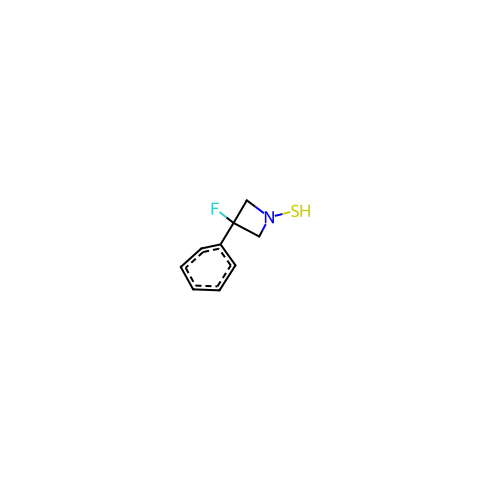 FC1(c2ccccc2)CN(S)C1